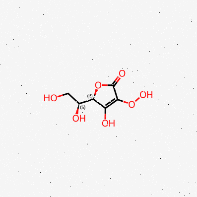 O=C1O[C@H]([C@@H](O)CO)C(O)=C1OO